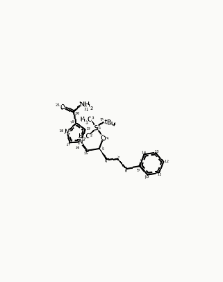 CC(C)(C)[Si](C)(C)O[C@@H](CCCc1ccccc1)Cn1cnc(C(N)=O)c1